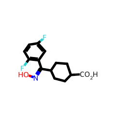 O=C(O)C1CCC(C(=NO)c2cc(F)ccc2F)CC1